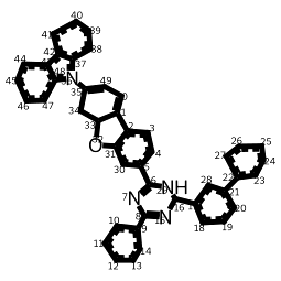 C1=C2c3ccc(C4=NC(c5ccccc5)=NC(c5cccc(-c6ccccc6)c5)N4)cc3OC2CC(n2c3ccccc3c3ccccc32)=C1